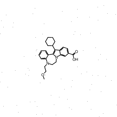 COCCN1CCn2c(c(C3CCCCC3)c3ccc(C(=O)O)cc32)-c2ccccc21